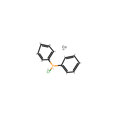 ClP(c1ccccc1)c1ccccc1.[Co]